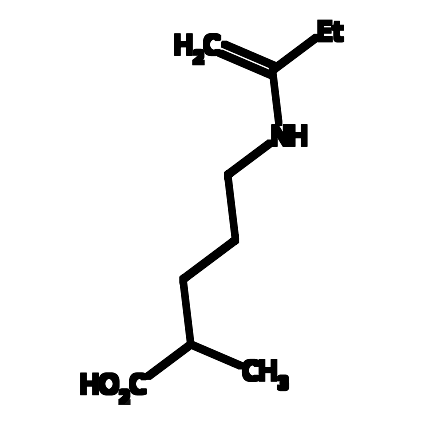 C=C(CC)NCCCC(C)C(=O)O